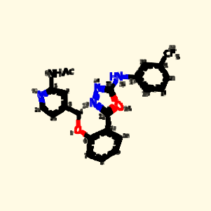 CC(=O)Nc1cc(COc2ccccc2-c2nnc(Nc3cccc(C(F)(F)F)c3)o2)ccn1